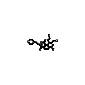 O=C(NCCN1CCOCC1)c1ccc([N+](=O)[O-])c(N(CCCl)CCCl)c1[N+](=O)[O-]